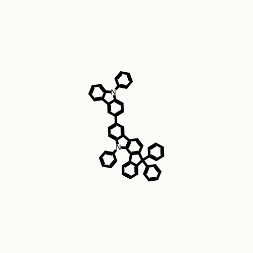 c1ccc(-n2c3ccccc3c3cc(-c4ccc5c(c4)c4ccc6c(c4n5-c4ccccc4)-c4ccccc4C6(c4ccccc4)c4ccccc4)ccc32)cc1